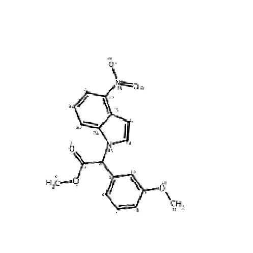 COC(=O)C(c1cccc(OC)c1)n1ccc2c([N+](=O)[O-])cccc21